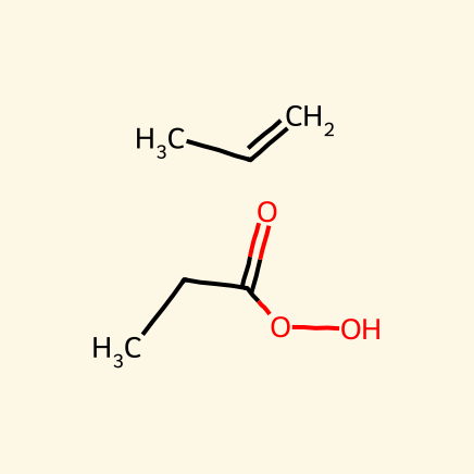 C=CC.CCC(=O)OO